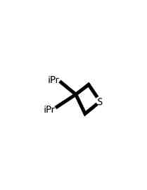 CC(C)C1(C(C)C)CSC1